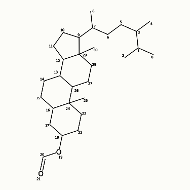 CC(C)C(C)CCC(C)C1CCC2C3CCC4CC(OC=O)CCC4(C)C3CCC12C